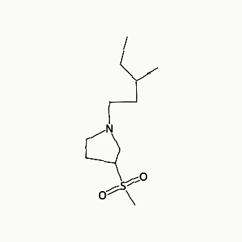 CCC(C)CCN1CCC(S(C)(=O)=O)C1